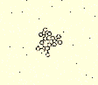 c1ccc(-c2nn3c(-c4ccccc4)cc4ccc(N(c5cccc6c5-c5ccccc5C6(c5ccccc5)c5ccccc5)c5cccc6c5-c5ccccc5C65c6ccccc6-c6ccccc65)cc4c3c2-c2ccccc2)cc1